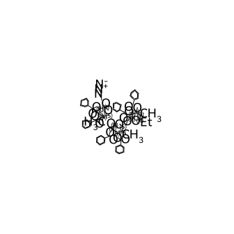 CC[C@H]1O[C@@H](OC[C@H]2O[C@@H](OC[C@H]3O[C@@H](OCCN=[N+]=[N-])[C@H](OC(=O)c4ccccc4)[C@@H](OC(=O)c4ccccc4)[C@@H]3C)[C@H](OC(=O)c3ccccc3)[C@@H](OC(=O)c3ccccc3)[C@@H]2C)[C@H](OC(=O)c2ccccc2)[C@@H](OC(=O)c2ccccc2)[C@@H]1C